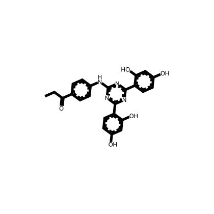 CCC(=O)c1ccc(Nc2nc(-c3ccc(O)cc3O)nc(-c3ccc(O)cc3O)n2)cc1